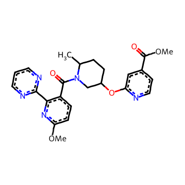 COC(=O)c1ccnc(OC2CCC(C)N(C(=O)c3ccc(OC)nc3-c3ncccn3)C2)c1